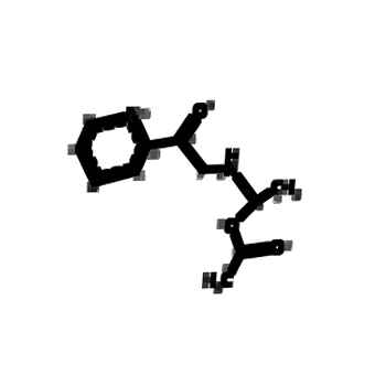 CC(=O)OC(C)NCC(=O)c1ccccn1